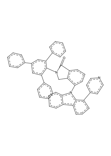 O=C1c2cccc(-n3c4ccccc4c4cccc(-c5ccncc5)c43)c2CN1c1c(-c2ccccc2)cc(-c2ccccc2)cc1-c1ccccc1